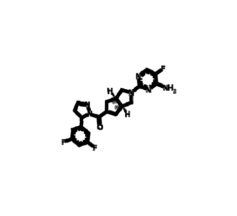 Nc1nc(N2C[C@H]3CC(C(=O)N4N=CCC4c4cc(F)cc(F)c4)C[C@H]3C2)ncc1F